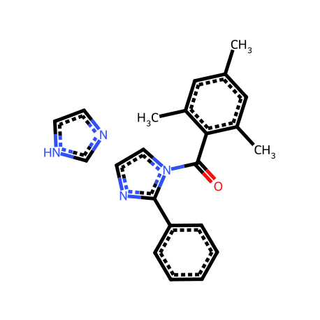 Cc1cc(C)c(C(=O)n2ccnc2-c2ccccc2)c(C)c1.c1c[nH]cn1